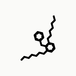 CCCCCCCc1cccc(CCCCCCC)c1Cc1ccccc1